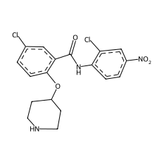 O=C(Nc1ccc([N+](=O)[O-])cc1Cl)c1cc(Cl)ccc1OC1CCNCC1